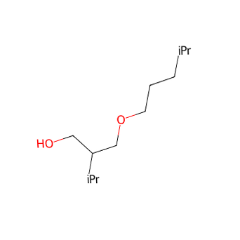 CC(C)CCCOCC(CO)C(C)C